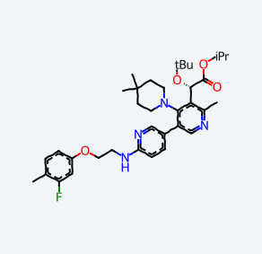 Cc1ccc(OCCNc2ccc(-c3cnc(C)c([C@H](OC(C)(C)C)C(=O)OC(C)C)c3N3CCC(C)(C)CC3)cn2)cc1F